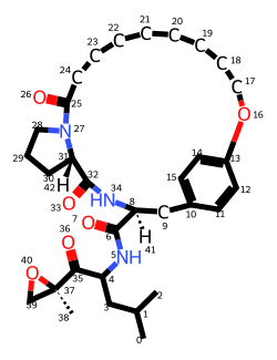 CC(C)CC(NC(=O)[C@@H]1Cc2ccc(cc2)OCCCCCCCCC(=O)N2CCC[C@H]2C(=O)N1)C(=O)[C@@]1(C)CO1